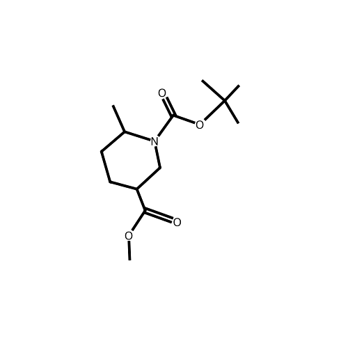 COC(=O)C1CCC(C)N(C(=O)OC(C)(C)C)C1